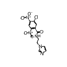 O=C(NCCn1ccnc1)c1cc(Cl)c([N+](=O)[O-])cc1[N+](=O)[O-]